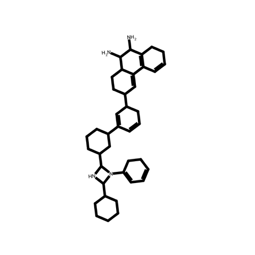 NC1C2=C(C=CCC2)C2=CC(C3C=C(C4CCCC(C5NC(C6CCCCC6)N5C5=CC=CCC5)C4)C=CC3)CCC2C1N